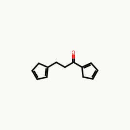 O=C(CCC1=CC=CC1)C1=CC=CC1